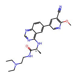 CCN(CC)CCNC(=O)[C@H](C)Nc1ncnc2ccc(-c3cnc(OC)c(C#N)c3)cc12